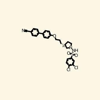 N#Cc1ccc(-c2ccc(OCCC[C@@H]3CCN(NS(=O)(=O)c4ccc(Cl)c(Cl)c4)C3)cc2)cc1